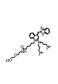 CN(C)CCCN(CCCN(C)C)C1=C/C(=C\c2sc3ccccc3[n+]2C)c2ccccc2N1CCCCCC(=O)NCCOCCO